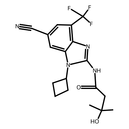 CC(C)(O)CC(=O)Nc1nc2c(C(F)(F)F)cc(C#N)cc2n1C1CCC1